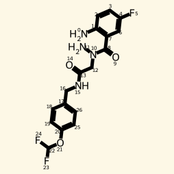 Nc1ccc(F)cc1C(=O)N(N)CC(=O)NCc1ccc(OC(F)F)cc1